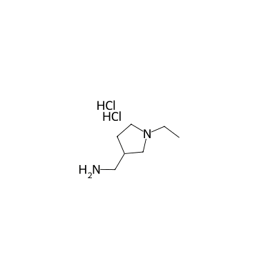 CCN1CCC(CN)C1.Cl.Cl